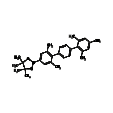 Bc1cc(C)c(-c2ccc(-c3c(C)cc(B4OC(C)(C)C(C)(C)O4)cc3C)cc2)c(C)c1